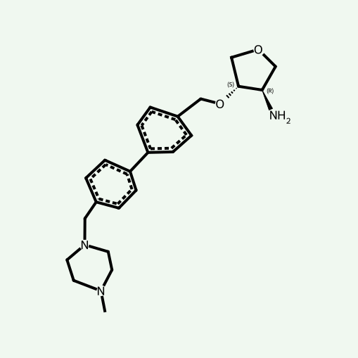 CN1CCN(Cc2ccc(-c3ccc(CO[C@@H]4COC[C@H]4N)cc3)cc2)CC1